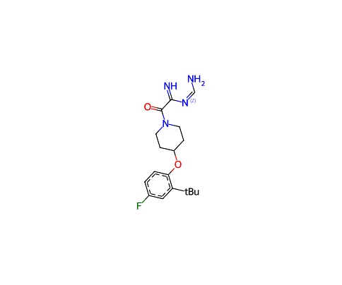 CC(C)(C)c1cc(F)ccc1OC1CCN(C(=O)C(=N)/N=C\N)CC1